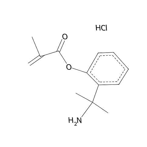 C=C(C)C(=O)Oc1ccccc1C(C)(C)N.Cl